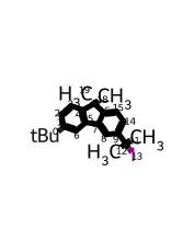 CC(C)(C)c1ccc2c(c1)-c1cc(C(C)(C)I)ccc1C2(C)C